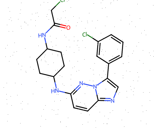 O=C(CCl)NC1CCC(Nc2ccc3ncc(-c4cccc(Cl)c4)n3n2)CC1